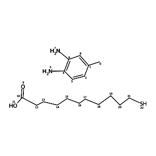 Cc1ccc(N)c(N)c1.O=C(O)CCCCCCCCCCS